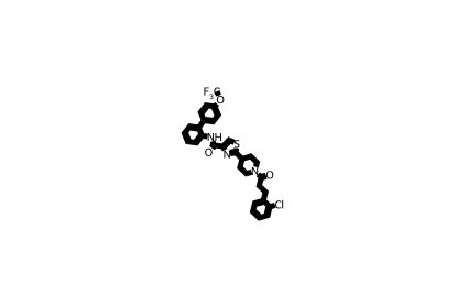 O=C(Nc1ccccc1-c1ccc(OC(F)(F)F)cc1)c1csc(C2CCN(C(=O)CCc3ccccc3Cl)CC2)n1